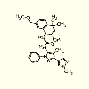 COCc1ccc2c(c1)[C@H](NC(=O)Nc1c(C)c(-c3cnn(C)c3)nn1-c1ccccc1)[C@@H](O)CC2(C)C